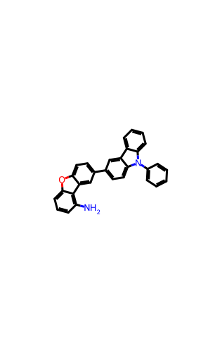 Nc1cccc2oc3ccc(-c4ccc5c(c4)c4ccccc4n5-c4ccccc4)cc3c12